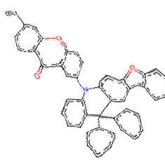 CC(C)(C)c1ccc2c(=O)c3cc(N4c5ccccc5C(c5ccccc5)(c5ccccc5)c5cc6c(cc54)oc4ccccc46)ccc3oc2c1